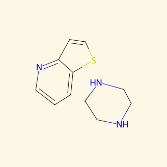 C1CNCCN1.c1cnc2ccsc2c1